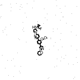 COCOc1cc(-c2cnn(C3CCCCO3)c2)ccc1-c1ccc(N2CCC(NC3(CF)CC3)C2)nn1